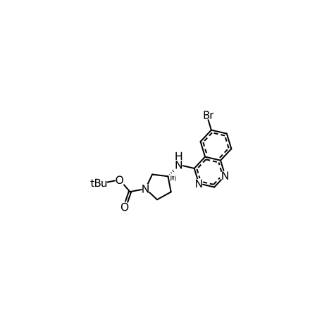 CC(C)(C)OC(=O)N1CC[C@@H](Nc2ncnc3ccc(Br)cc23)C1